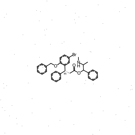 CNC(C)C(OC(=O)C[C@H](c1ccccc1)c1cc(Br)ccc1OCc1ccccc1)c1ccccc1